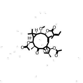 C/C=C(/C)C(=O)O[C@@H]1/C(C)=C\C23O[C@@]2(C[C@H](C)[C@@H]3OC(C)=O)C(=O)[C@@H](C)C(OC(C)=O)[C@@H]2[C@H]([C@@H]1OC)C2(C)C